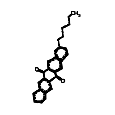 CCCCCCc1ccc2cc3c(cc2c1)C(=O)c1cc2ccccc2cc1C3=O